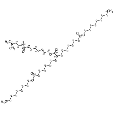 CCCCCCCCCOC(=O)CCCCCCCN(CCCCCCCC(=O)OCCCCCCCCC)C(=O)OCCSSCCOC(=O)NCCN(C)C